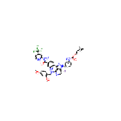 COc1ccc(CNc2ncc(I)c3c2c(-c2ccc(C(=O)Nc4cc(C(F)(F)F)ccn4)cc2)nn3[C@@H]2CCC[C@@H](NC(=O)OCC[Si](C)(C)C)C2)c(OC)c1